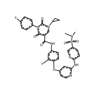 CN(C)S(=O)(=O)c1ccc(Nc2cc(Oc3ccc(NC(=O)c4cn(C5CC5)c(=O)n(-c5ccc(F)cc5)c4=O)cc3F)ccn2)nc1